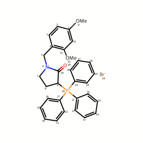 COc1ccc(CN2CCC([P+](c3ccccc3)(c3ccccc3)c3ccccc3)C2=O)c(OC)c1.[Br-]